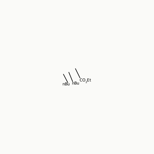 CCCCC.CCCCC.CCOC(C)=O